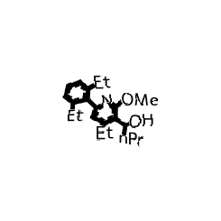 CCCC(O)c1c(CC)cc(-c2c(CC)cccc2CC)nc1OC